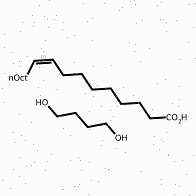 CCCCCCCC/C=C\CCCCCCCC(=O)O.OCCCCO